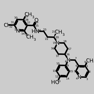 Cc1ccncc1CN(c1ccc(O)cc1)C1CCN([C@H](C)CCNC(=O)c2c(C)cc(Cl)nc2C)CC1